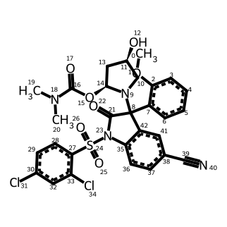 COc1ccccc1C1(N2C[C@H](O)C[C@@H]2OC(=O)N(C)C)C(=O)N(S(=O)(=O)c2ccc(Cl)cc2Cl)c2ccc(C#N)cc21